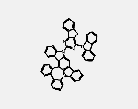 c1ccc2c(c1)-c1ccccc1-n1c3ccccc3c3cc4c(c-2c31)c1ccccc1n4-c1nc(-n2c3ccccc3c3ccccc32)c2sc3ccccc3c2n1